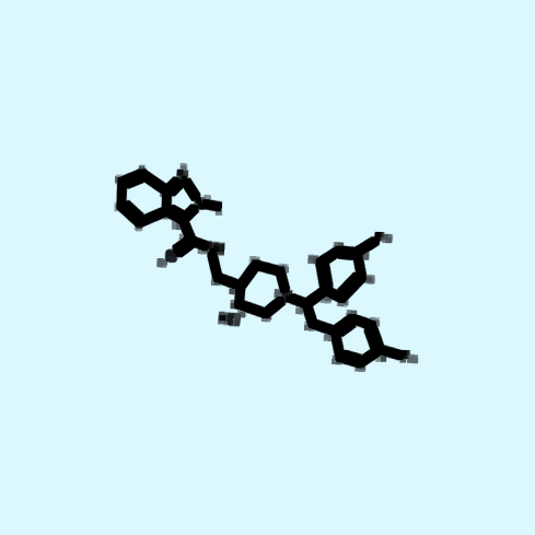 Cl.Cn1nc2ccccc2c1C(=O)NCC1CCN(C(Cc2ccc(F)cc2)c2ccc(F)cc2)CC1